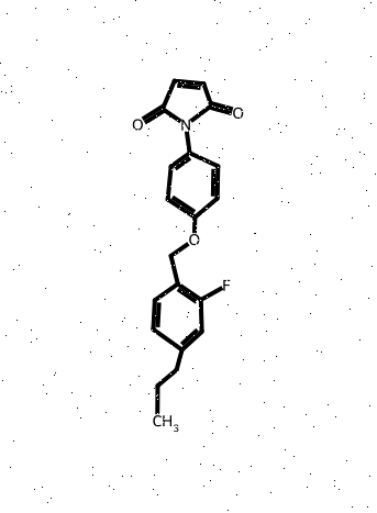 CCCc1ccc(COc2ccc(N3C(=O)C=CC3=O)cc2)c(F)c1